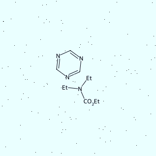 CCOC(=O)N(CC)CC.c1ncncn1